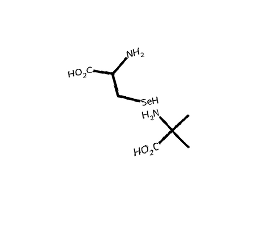 CC(C)(N)C(=O)O.NC(C[SeH])C(=O)O